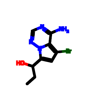 CCC(O)c1cc(Br)c2c(N)ncnn12